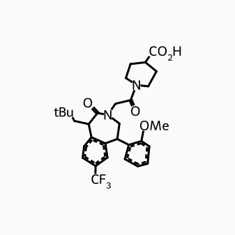 COc1ccccc1C1CN(CC(=O)N2CCC(C(=O)O)CC2)C(=O)C(CC(C)(C)C)c2ccc(C(F)(F)F)cc21